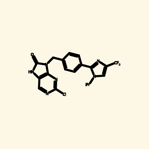 CC(C)n1cc(C(F)(F)F)nc1-c1ccc(Cn2c(=O)[nH]c3cnc(Cl)nc32)cc1